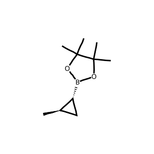 C[C@@H]1C[C@H]1B1OC(C)(C)C(C)(C)O1